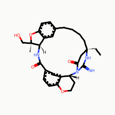 CC[C@]12CCCCc3ccc4c(c3)[C@@H](NC(=O)c3ccc5c(c3)[C@@H](CCO5)N(C(=N)N1)C(=O)C2)[C@@](C)(CO)O4